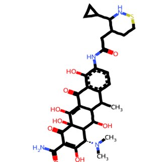 CC1c2ccc(NC(=O)CC3CCSNC3C3CC3)c(O)c2C(=O)C2=C(O)C3(O)C(=O)C(C(N)=O)=C(O)[C@@H](N(C)C)C3C(O)C21